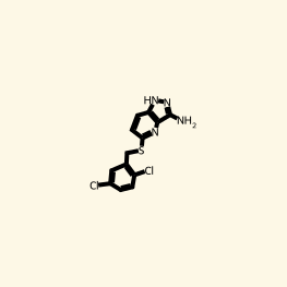 Nc1n[nH]c2ccc(SCc3cc(Cl)ccc3Cl)nc12